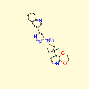 CC[C@](C)(SCNc1cc(-c2cnc3ccccc3c2)ncn1)c1ccnc2c1OCCO2